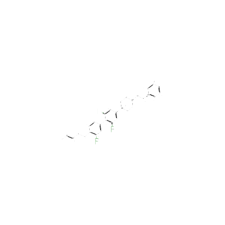 C/C=C/CCc1ccc(-c2c(F)cc(C3CCC(CCc4ccccc4)CC3)cc2F)cc1F